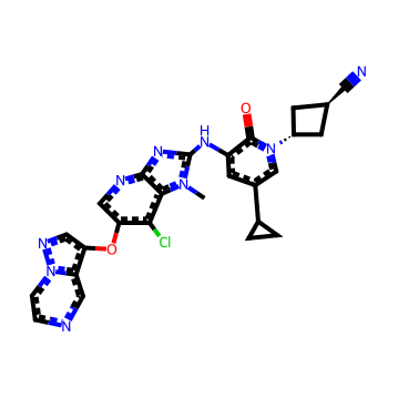 Cn1c(Nc2cc(C3CC3)cn([C@H]3C[C@H](C#N)C3)c2=O)nc2ncc(Oc3cnn4ccncc34)c(Cl)c21